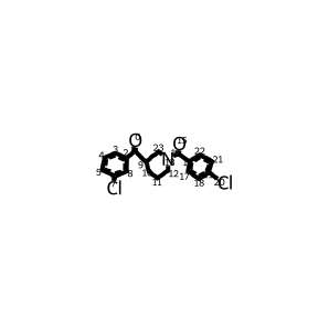 O=C(c1cccc(Cl)c1)C1CCCN(C(=O)c2ccc(Cl)cc2)C1